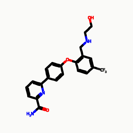 NC(=O)c1cccc(-c2ccc(Oc3ccc(C(F)(F)F)cc3CNCCO)cc2)n1